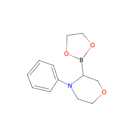 c1ccc(N2CCOCC2B2OCCO2)cc1